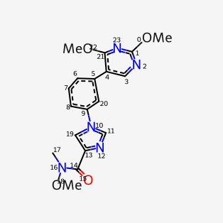 COc1ncc(-c2cccc(-n3cnc(C(=O)N(C)OC)c3)c2)c(OC)n1